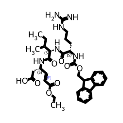 CCOC(=O)/C=C/[C@H](CC(=O)O)NC(=O)[C@@H](NC(=O)[C@H](CCCNC(=N)N)NC(=O)OCC1c2ccccc2-c2ccccc21)C(C)CC